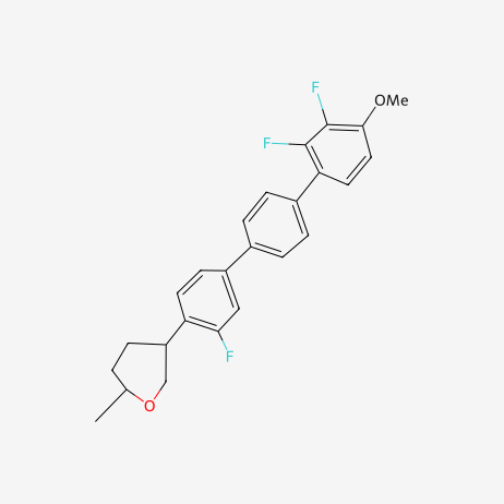 COc1ccc(-c2ccc(-c3ccc(C4CCC(C)OC4)c(F)c3)cc2)c(F)c1F